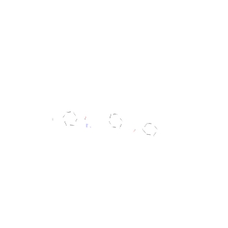 CC(C)(C)c1ccc(C(=O)N[C@@H](Cc2ccc(OC(=O)c3ccc(C4CCCCC4)cc3)cc2)C(=O)O)cc1